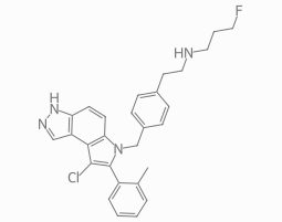 Cc1ccccc1-c1c(Cl)c2c3cn[nH]c3ccc2n1Cc1ccc(CCNCCCF)cc1